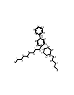 CCCCCCCCCC1([C@H]2CC[C@H](CCCCC)CC2)C=CC(c2ccccc2)C=C1